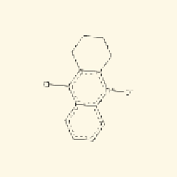 [O-][n+]1c2c(c(Cl)c3ccccc31)CCCC2